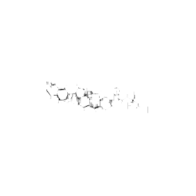 CCC(F)(F)CCN(O)[C@@H]1CCC2=CC3=CC[C@]4(C)[C@@H](c5ccc6ccncc6c5)CC[C@H]4[C@@]34CCC2(C1)O4